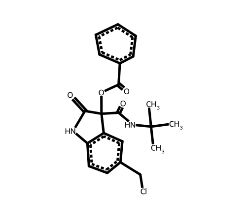 CC(C)(C)NC(=O)C1(OC(=O)c2ccccc2)C(=O)Nc2ccc(CCl)cc21